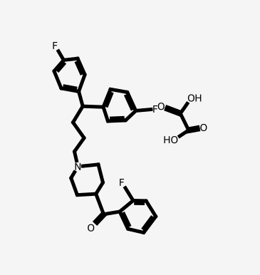 O=C(O)C(=O)O.O=C(c1ccccc1F)C1CCN(CCCC(c2ccc(F)cc2)c2ccc(F)cc2)CC1